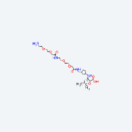 CC(C)C[C@H](NC1CCC(CNC(=O)COCCOCCNC(=O)COCCOCCN)C1)C(=O)C(=O)O